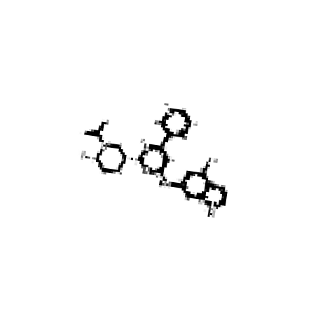 CC(=O)N1C[C@H](c2nc(Nc3cc(F)c4cc[nH]c4c3)cc(-c3cccnc3)n2)CC[C@@H]1C